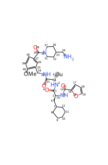 CC[C@H](C)[C@H](NC(=O)[C@H](CC1CCCCC1)NC(=O)c1ccco1)C(=O)NCc1cc(C(=O)N2CCC(CN)CC2)ccc1OC